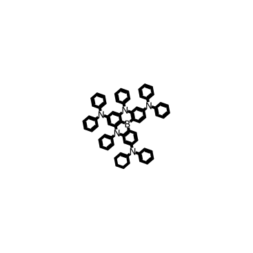 C1=C(N(c2ccccc2)c2ccc3c(c2)N(c2ccccc2)c2cc(N(c4ccccc4)c4ccccc4)cc4c2B3c2ccc(N(c3ccccc3)c3ccccc3)cc2N4c2ccccc2)CCCC1